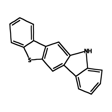 c1ccc2c(c1)[nH]c1cc3c(cc12)sc1ccccc13